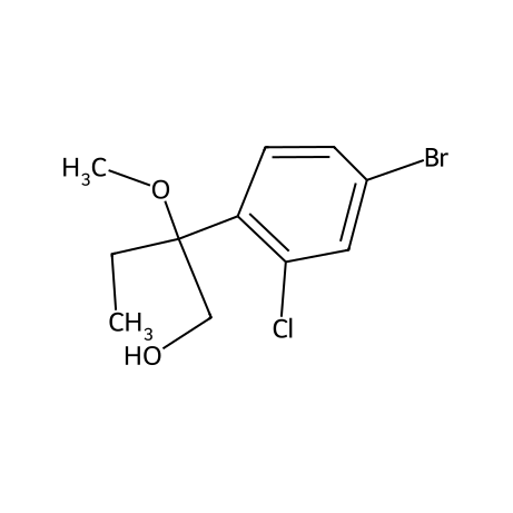 CCC(CO)(OC)c1ccc(Br)cc1Cl